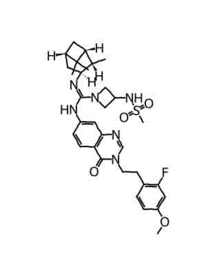 COc1ccc(CCn2cnc3cc(N/C(=N/[C@H]4C[C@@H]5C[C@H]([C@@H]4C)C5(C)C)N4CC(NS(C)(=O)=O)C4)ccc3c2=O)c(F)c1